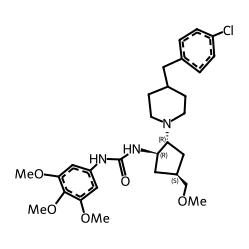 COC[C@@H]1C[C@@H](N2CCC(Cc3ccc(Cl)cc3)CC2)[C@H](NC(=O)Nc2cc(OC)c(OC)c(OC)c2)C1